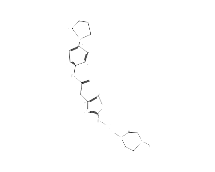 CN1CCN(CCNc2nc(CC(=O)Nc3ccc(N4CCCC4)cc3)cs2)CC1